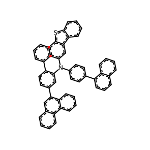 c1ccc(-c2ccc(-c3cc4ccccc4c4ccccc34)cc2N(c2ccc(-c3cccc4ccccc34)cc2)c2ccc3sc4ccccc4c3c2)cc1